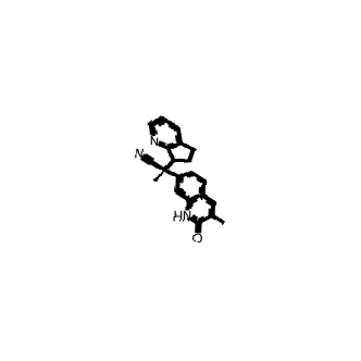 Cc1cc2ccc([C@](C)(C#N)C3CCc4cccnc43)cc2[nH]c1=O